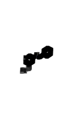 CCOc1cncc(/N=C/c2ccccc2)c1